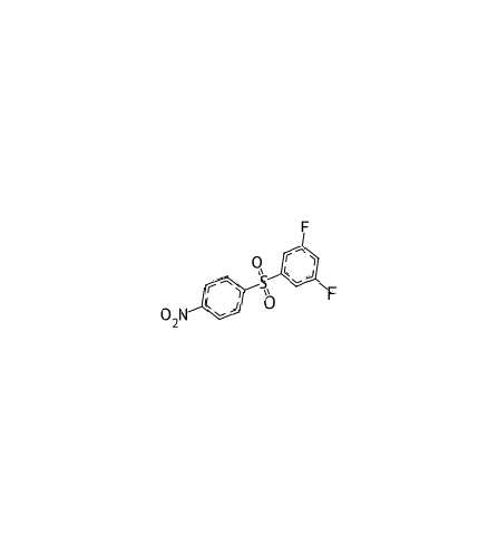 O=[N+]([O-])c1ccc(S(=O)(=O)c2cc(F)cc(F)c2)cc1